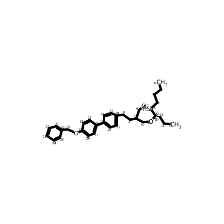 CCCC[SiH]1OCC(CCc2ccc(-c3ccc(OCc4ccccc4)cc3)cc2)CO[C@@H]1CCC